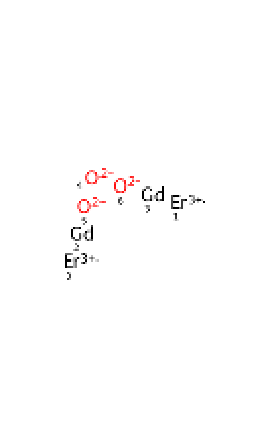 [Er+3].[Er+3].[Gd].[Gd].[O-2].[O-2].[O-2]